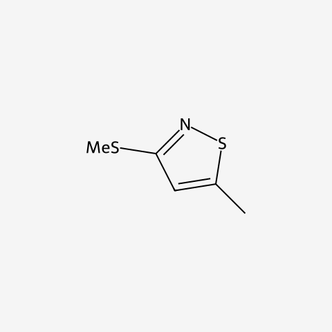 CSc1cc(C)sn1